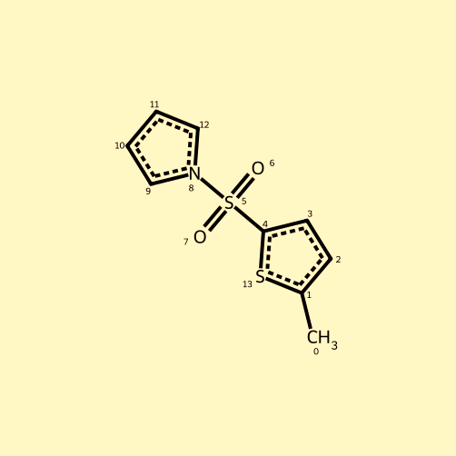 Cc1ccc(S(=O)(=O)n2cccc2)s1